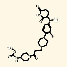 CN(c1ccc(N2CCN(CCC(=O)N3CCC(NC(=O)OC(C)(C)C)CC3)CC2)c(F)c1)C1CCC(=O)NC1=O